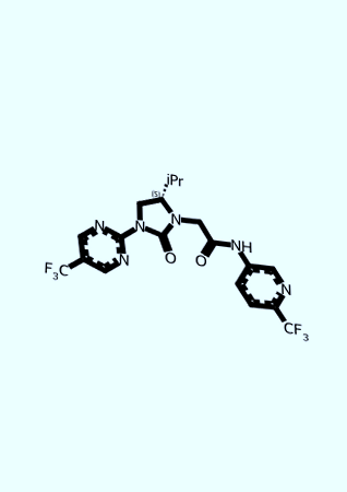 CC(C)[C@H]1CN(c2ncc(C(F)(F)F)cn2)C(=O)N1CC(=O)Nc1ccc(C(F)(F)F)nc1